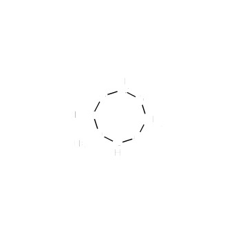 Cl.O1[SiH2]O[SiH2]O[SiH2]O[SiH2]1